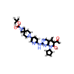 CC(=O)c1c(C)c2cnc(Nc3ccc(N4CCC5(CC4)CN(C(=O)OC(C)(C)C)C5)cn3)nc2n(C2CCCC2)c1=O